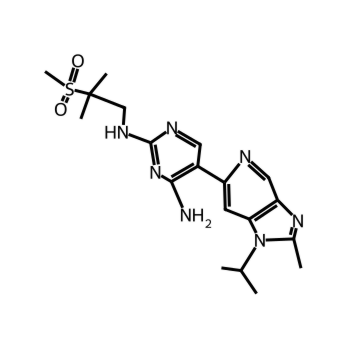 Cc1nc2cnc(-c3cnc(NCC(C)(C)S(C)(=O)=O)nc3N)cc2n1C(C)C